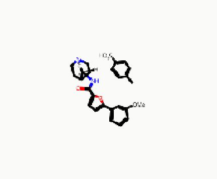 COc1cccc(-c2ccc(C(=O)N[C@H]3CN4CCC3CC4)o2)c1.Cc1ccc(S(=O)(=O)O)cc1